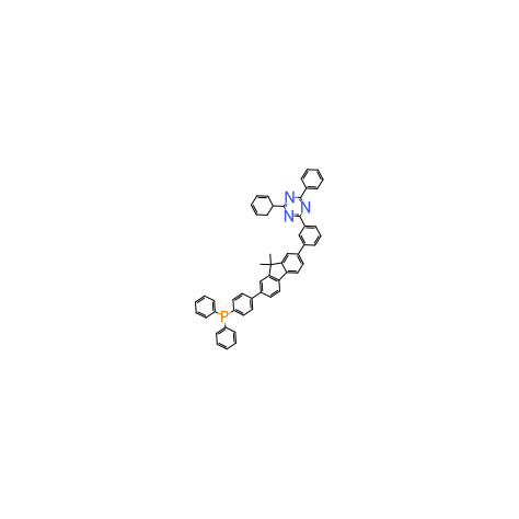 CC1(C)c2cc(-c3ccc(P(c4ccccc4)c4ccccc4)cc3)ccc2-c2ccc(-c3cccc(-c4nc(-c5ccccc5)nc(C5C=CC=CC5)n4)c3)cc21